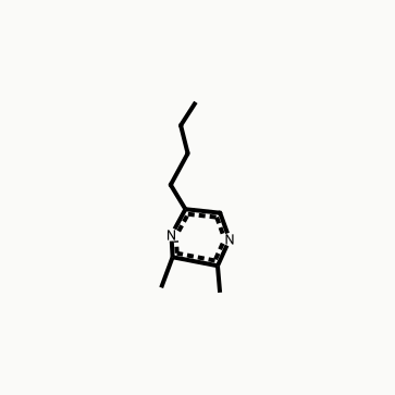 CCCCc1cnc(C)c(C)n1